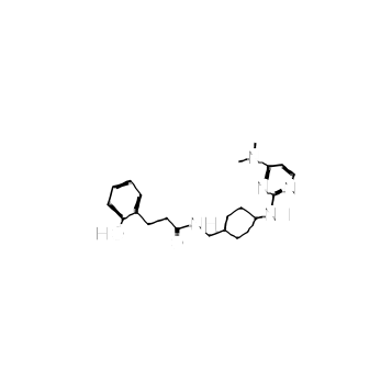 CN(C)c1ccnc(NC2CCC(CNC(=O)CCc3ccccc3O)CC2)n1